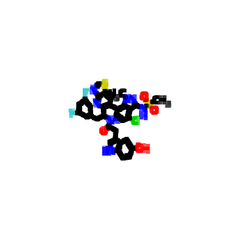 Cn1nc(NS(C)(=O)=O)c2c(Cl)ccc(-c3cc4scnc4nc3C(Cc3cc(F)cc(F)c3)NC(=O)Cc3c[nH]c4ccc(O)cc34)c21